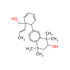 CC=CC1(CO)C=CC=CC1c1ccc2c(c1)C(C)(C)C(O)CC2(C)C